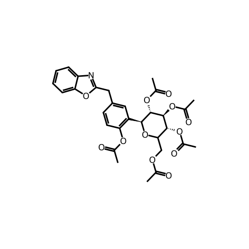 CC(=O)OCC1O[C@@H](c2cc(Cc3nc4ccccc4o3)ccc2OC(C)=O)[C@H](OC(C)=O)[C@@H](OC(C)=O)[C@@H]1OC(C)=O